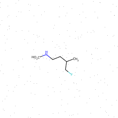 CC(CF)CCNC(=O)O